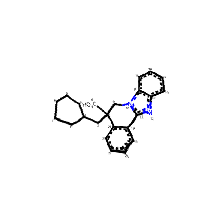 O=C(O)C1(CC2CCCCC2)Cn2c(nc3ccccc32)-c2ccccc21